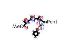 CCCCCC(NC(=O)OCc1ccccc1)c1nc(C2=NC(c3nc(C(=O)OC)co3)CO2)co1